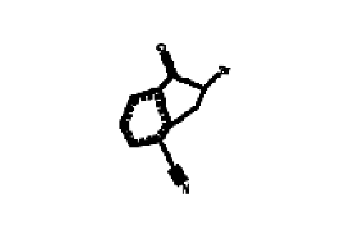 N#Cc1cccc2c1CC(Br)C2=O